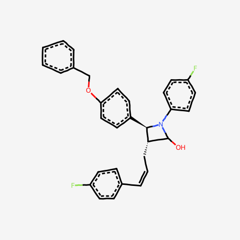 OC1[C@H](C/C=C\c2ccc(F)cc2)[C@@H](c2ccc(OCc3ccccc3)cc2)N1c1ccc(F)cc1